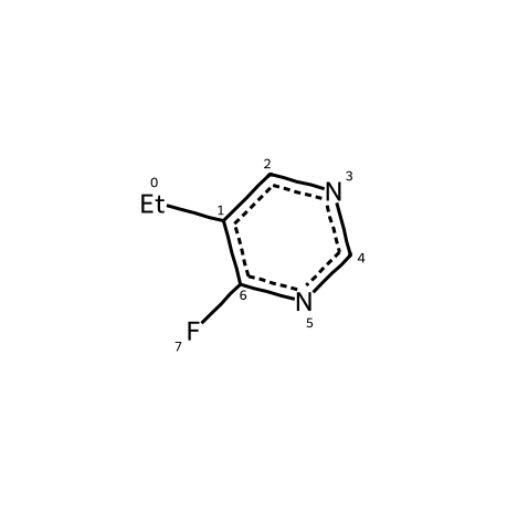 CCc1cncnc1F